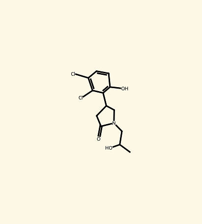 CC(O)CN1CC(c2c(O)ccc(Cl)c2Cl)CC1=O